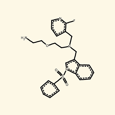 NCCOCCN(Cc1cccnc1F)Cc1cn(S(=O)(=O)c2ccccc2)c2ccccc12